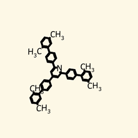 Cc1ccc(C)c(-c2ccc(-c3cc(-c4ccc(-c5cc(C)ccc5C)cc4)nc(-c4ccc(-c5cc(C)ccc5C)cc4)c3)cc2)c1